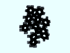 c1ccc(-c2cc3ccccc3c3c2c2ccc(N(c4ccccc4)c4cccc5c4-c4ccccc4C54c5ccccc5-c5ccccc54)cc2n3-c2ccc3ccccc3c2)cc1